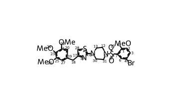 COc1ccc(Br)cc1S(=O)(=O)N1CCN(c2nc(Cc3cc(OC)c(OC)c(OC)c3)cs2)CC1